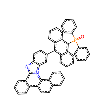 O=P(c1ccccc1)(c1ccccc1)c1c2ccccc2c(-c2ccc3nc4c5ccccc5c5ccc6ccccc6c5n4c3c2)c2ccccc12